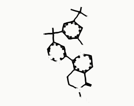 [2H]C(F)(c1cc(F)cc(C(F)(F)F)c1)c1cnnc(-c2nccc3c2CCN(C)C3=O)c1